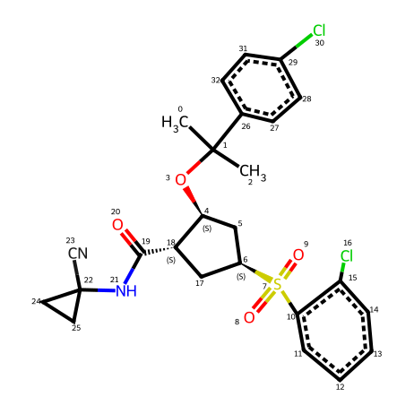 CC(C)(O[C@H]1C[C@@H](S(=O)(=O)c2ccccc2Cl)C[C@@H]1C(=O)NC1(C#N)CC1)c1ccc(Cl)cc1